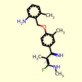 CN/C(F)=C(/C)C(=N)c1ccc(OCc2c(C)cccc2N)c(C)c1